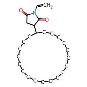 C=CN1C(=O)CC(C2CCCCCCCCCCCCCCCCCCC2)C1=O